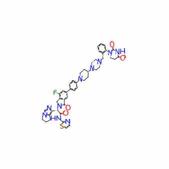 O=C1CCN(c2ccccc2CN2CCN(C3CCN(c4ccc(-c5cc(F)c6c(c5)C(=O)N(C(C(=O)Nc5nccs5)c5ncn7c5CCC7)C6)cc4)CC3)CC2)C(=O)N1